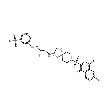 CCn1cc(S(=O)(=O)N2CCC3(CC2)C[C@@H](NC[C@H](O)COc2cccc(S(N)(=O)=O)c2)CO3)c(=O)c2ccc(C)cc21